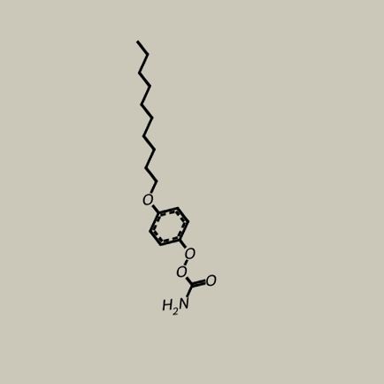 CCCCCCCCCCOc1ccc(OOC(N)=O)cc1